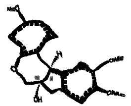 COc1ccc2c(c1)OC[C@]1(O)Cc3cc(OC)c(OC)cc3[C@H]21